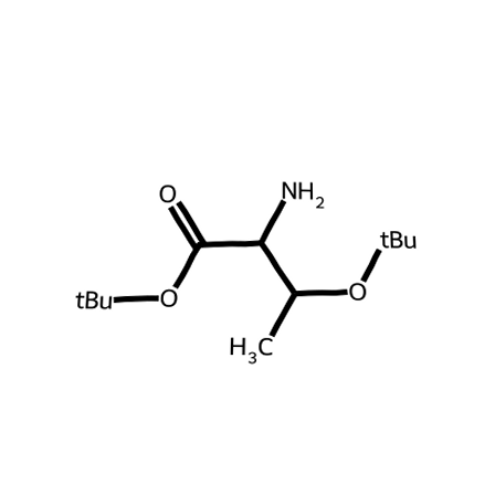 CC(OC(C)(C)C)C(N)C(=O)OC(C)(C)C